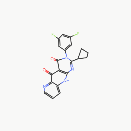 O=c1c2ncccc2[nH]c2nc(C3CCC3)n(-c3cc(F)cc(F)c3)c(=O)c12